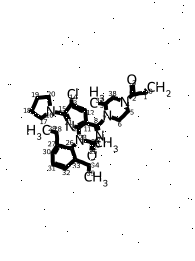 C=CC(=O)N1CCN(/C(=N/C)c2cc(Cl)c(N3CCCC3)nc2N(C=O)C2C(CC)=CC=CC2CC)C(C)C1